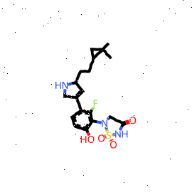 CC1(C)CC1CCC1C=C(c2ccc(O)c(N3CC(=O)NS3(=O)=O)c2F)CN1